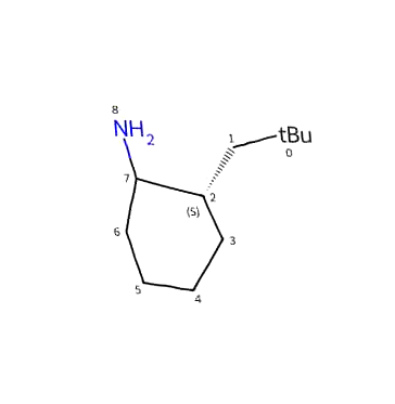 CC(C)(C)C[C@@H]1CCCCC1N